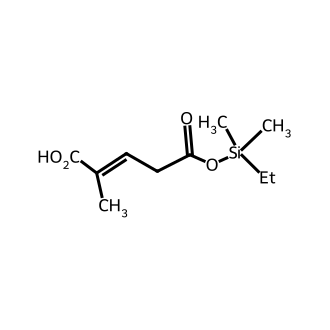 CC[Si](C)(C)OC(=O)CC=C(C)C(=O)O